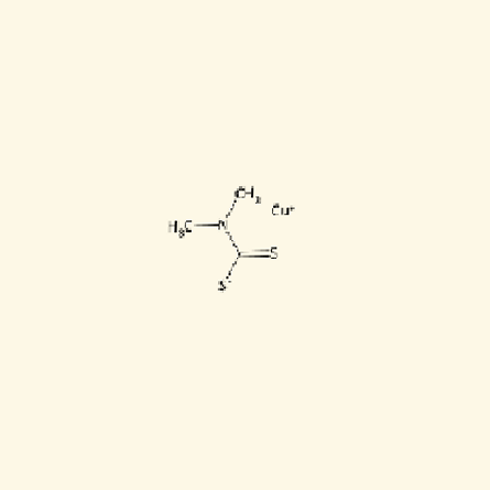 CN(C)C(=S)[S-].[Cu+]